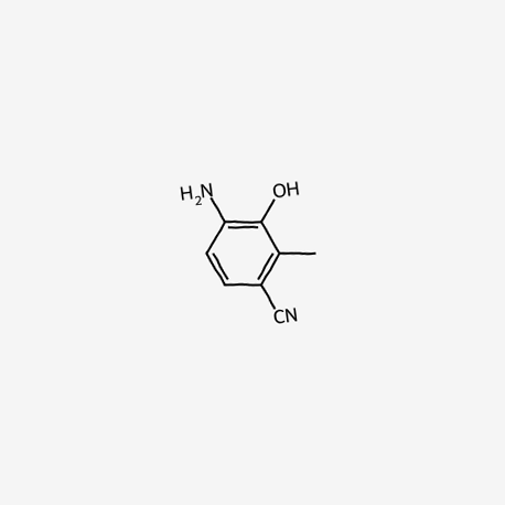 Cc1c(C#N)ccc(N)c1O